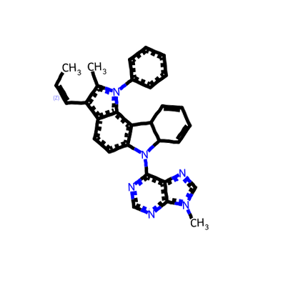 C/C=C\c1c(C)n(-c2ccccc2)c2c3c(ccc12)N(c1ncnc2c1ncn2C)C1C=CC=CC31